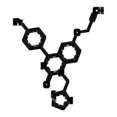 C#CCOc1ccc2c(c1)c(-c1ccc(C(C)C)cc1)nc(=O)n2Cc1nccs1